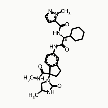 CNC(=O)C1(N2CC(C)NC2=O)CCc2cc(NC(=O)[C@@H](NC(=O)c3ccnn3C)C3CCCCC3)ccc21